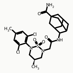 Cc1cc(Cl)c(N2C[C@H](C)CN(CC(=O)NC3C4CC5CC3CC(C(N)=O)(C5)C4)S2(=O)=O)c(Cl)c1